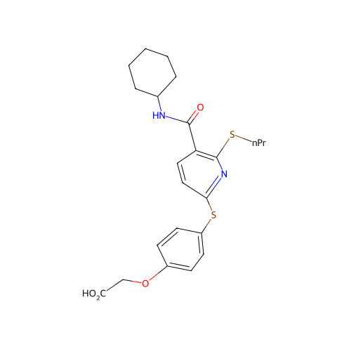 CCCSc1nc(Sc2ccc(OCC(=O)O)cc2)ccc1C(=O)NC1CCCCC1